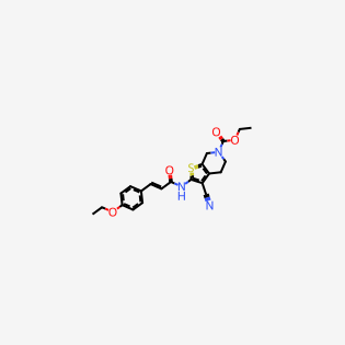 CCOC(=O)N1CCc2c(sc(NC(=O)C=Cc3ccc(OCC)cc3)c2C#N)C1